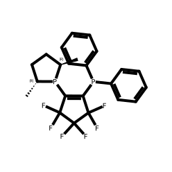 C[C@@H]1CC[C@@H](C)P1C1=C(P(c2ccccc2)c2ccccc2)C(F)(F)C(F)(F)C1(F)F